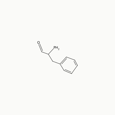 O=CC(P)Cc1ccccc1